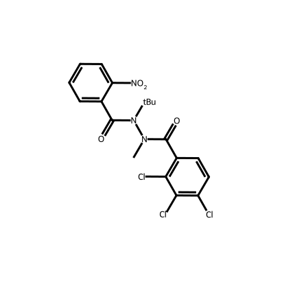 CN(C(=O)c1ccc(Cl)c(Cl)c1Cl)N(C(=O)c1ccccc1[N+](=O)[O-])C(C)(C)C